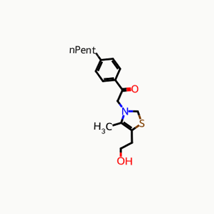 CCCCCc1ccc(C(=O)CN2CSC(CCO)=C2C)cc1